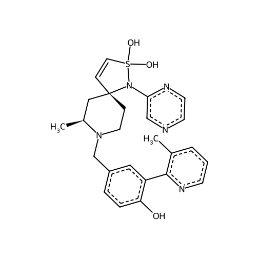 Cc1cccnc1-c1cc(CN2CC[C@]3(C=CS(O)(O)N3c3cnccn3)C[C@@H]2C)ccc1O